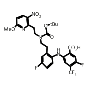 COc1ccc([N+](=O)[O-])c(CCN(CCc2cc(F)ccc2Nc2cc(C(F)(F)F)c(F)cc2C(=O)O)C(=O)OC(C)(C)C)n1